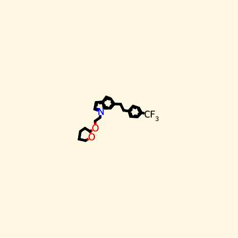 FC(F)(F)c1ccc(CCc2ccc3ccn(CCOC4CCCCO4)c3c2)cc1